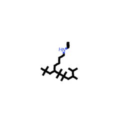 C=CNCCCCC(CC(C)(C)C)C(C)(C)C(C)(C)CC(C)C(C)C